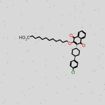 O=C(O)CCCCCCCCCCCOC1=C([C@H]2CC[C@H](c3ccc(Cl)cc3)CC2)C(=O)c2ccccc2C1=O